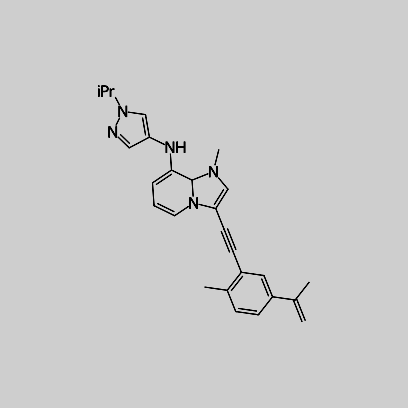 C=C(C)c1ccc(C)c(C#CC2=CN(C)C3C(Nc4cnn(C(C)C)c4)=CC=CN23)c1